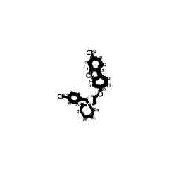 Clc1ccc(C[N+]2(CCOc3ccc4c(c3)oc3cc(Cl)ccc34)CCCCC2)cc1